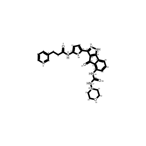 O=C(CCc1cccnc1)Nc1ccc(-c2n[nH]c3c2C(=O)c2c(NC(=O)NN4CCOCC4)cccc2-3)s1